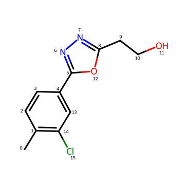 Cc1ccc(-c2nnc(CCO)o2)cc1Cl